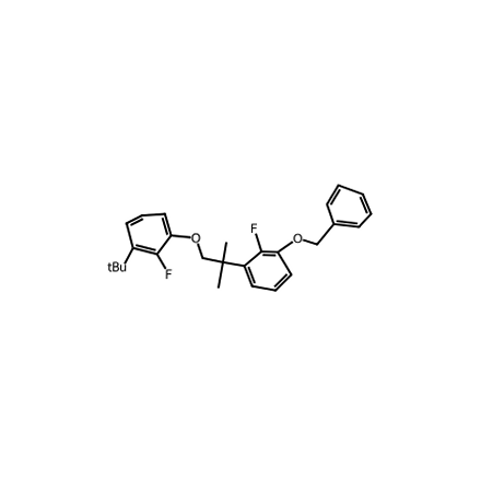 CC(C)(C)c1cccc(OCC(C)(C)c2cccc(OCc3ccccc3)c2F)c1F